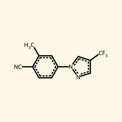 Cc1cc(-n2cc(C(F)(F)F)cn2)ccc1C#N